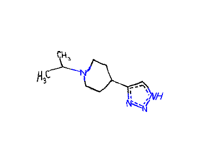 CC(C)N1CCC(c2c[nH]nn2)CC1